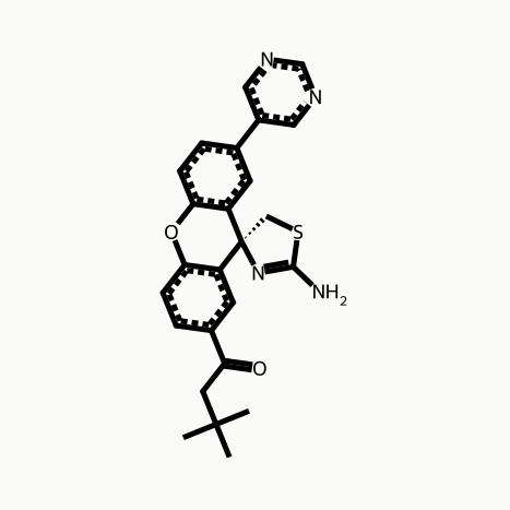 CC(C)(C)CC(=O)c1ccc2c(c1)[C@@]1(CSC(N)=N1)c1cc(-c3cncnc3)ccc1O2